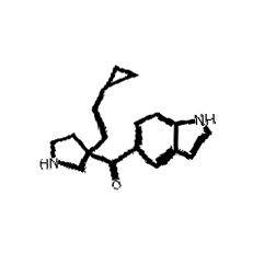 O=C(c1ccc2[nH]ccc2c1)C1(CCC2CC2)CCNC1